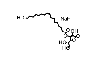 CCCCCCCC/C=C\CCCCCCCC(=O)OC1=C(O)C(=O)O[C@@H]1[C@@H](O)CO.[NaH]